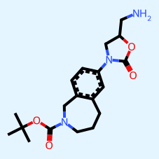 CC(C)(C)OC(=O)N1CCCc2cc(N3CC(CN)OC3=O)ccc2C1